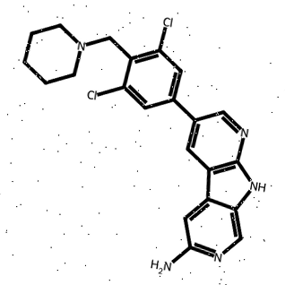 Nc1cc2c(cn1)[nH]c1ncc(-c3cc(Cl)c(CN4CCCCC4)c(Cl)c3)cc12